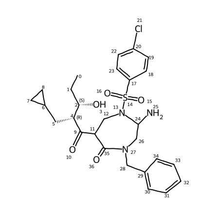 CC[C@H](O)[C@@H](CC1CC1)C(=O)C1CN(S(=O)(=O)c2ccc(Cl)cc2)C(N)CN(Cc2ccccc2)C1=O